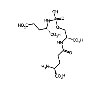 N[C@@H](CCC(=O)N[C@H](COP(=O)(O)N[C@@H](CCC(=O)O)C(=O)O)C(=O)O)C(=O)O